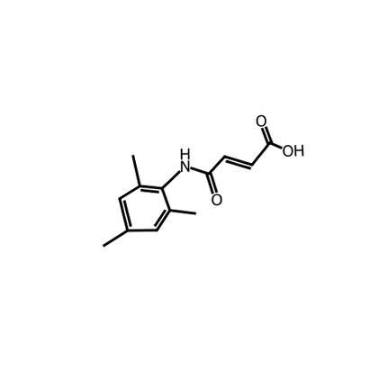 Cc1cc(C)c(NC(=O)C=CC(=O)O)c(C)c1